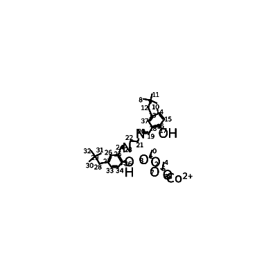 CC(=O)[O-].CC(=O)[O-].CC(C)(C)Cc1ccc(O)c(C=NCCN=Cc2cc(CC(C)(C)C)ccc2O)c1.[Co+2]